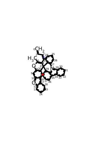 C=C/C=C\C1=C(C)Oc2cc3oc4ccccc4c3cc2C12c1ccccc1-n1c3ccccc3c3cccc2c31